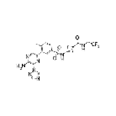 Cc1ccc(S(=O)(=O)NC23CC(C(=O)NCC(F)(F)F)(C2)C3)cc1-c1cnc(N)c(-n2cncn2)n1